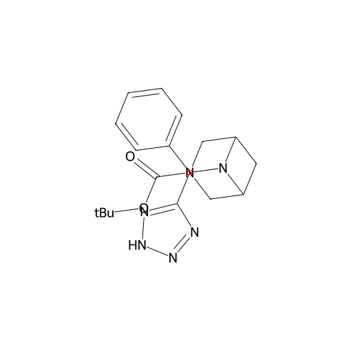 CC(C)(C)OC(=O)N1CC2CC(C1)N2C(c1ccccc1)c1nn[nH]n1